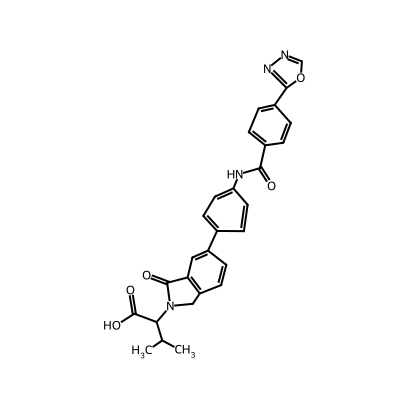 CC(C)C(C(=O)O)N1Cc2ccc(-c3ccc(NC(=O)c4ccc(-c5nnco5)cc4)cc3)cc2C1=O